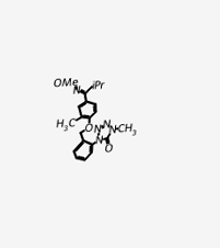 CON=C(c1ccc(OCc2ccccc2-n2nnn(C)c2=O)c(C)c1)C(C)C